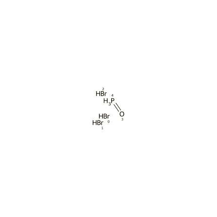 Br.Br.Br.O=[PH3]